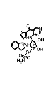 NS(=O)(=O)OC[C@H]1C[C@@H](Nc2ncncc2C(=O)c2cc([C@H]3NCCc4ccccc43)cs2)[C@H](O)[C@@H]1O